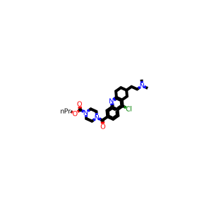 CCCOC(=O)N1CCN(C(=O)c2ccc3c(Cl)c4c(nc3c2)CCC(CCN(C)C)C4)CC1